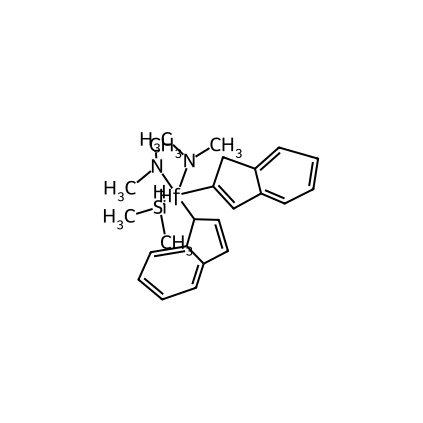 C[N](C)[Hf]([C]1=Cc2ccccc2C1)([CH]1C=Cc2ccccc21)([N](C)C)[SiH](C)C